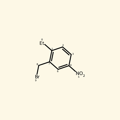 CCc1ccc([N+](=O)[O-])cc1CBr